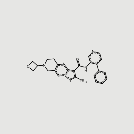 Nc1nn2cc3c(nc2c1C(=O)Nc1cnccc1-c1ccccc1)CCN(C1COC1)C3